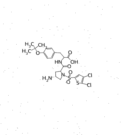 CC(C)(C)Oc1ccc(CC(NC(=O)C2C[C@@H](N)CN2S(=O)(=O)c2cc(Cl)c(Cl)s2)C(=O)O)cc1